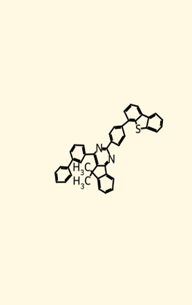 CC1(C)c2ccccc2-c2nc(-c3ccc(-c4cccc5c4sc4ccccc45)cc3)nc(-c3cccc(-c4ccccc4)c3)c21